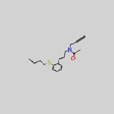 C#CCN(CC=Cc1ccccc1SCCCC)C(C)=O